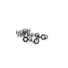 NC1=NS(O)(O)Nc2cccc(OC[C@H]3CCCN(C(=O)C4CCOCC4)C3)c21